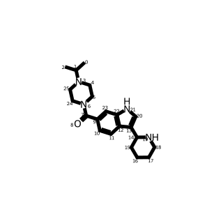 CC(C)N1CCN(C(=O)c2ccc3c(C4CCCCN4)c[nH]c3c2)CC1